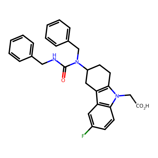 O=C(O)Cn1c2c(c3cc(F)ccc31)CC(N(Cc1ccccc1)C(=O)NCc1ccccc1)CC2